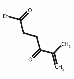 C=C(C)C(=O)CCC(=O)CC